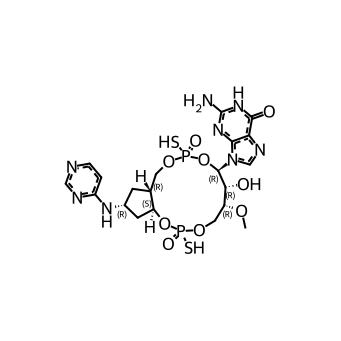 CO[C@@H]1COP(=O)(S)O[C@H]2C[C@H](Nc3ccncn3)C[C@@H]2COP(=O)(S)O[C@@H](n2cnc3c(=O)[nH]c(N)nc32)[C@@H]1O